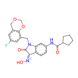 O=C(Nc1ccc2c(c1)N(Cc1cc(F)cc3c1OCOC3)C(=O)/C2=N\O)C1CCCC1